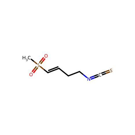 CS(=O)(=O)C=CCCN=C=S